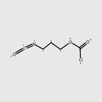 O=C=NCCCOC(=O)Cl